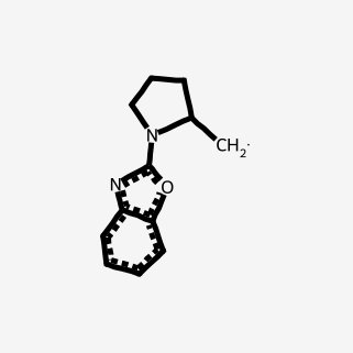 [CH2]C1CCCN1c1nc2ccccc2o1